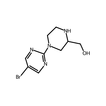 OCC1CN(c2ncc(Br)cn2)CCN1